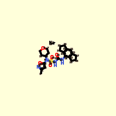 Cc1cc(N(C2CCOCC2)S(=O)(=O)NC(=O)Nc2c3c(cc4c2CCC4)CCC3)on1.[Na]